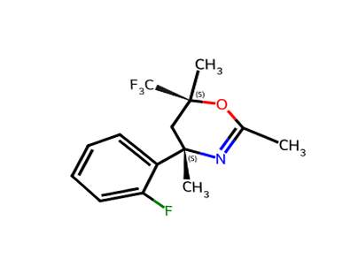 CC1=N[C@](C)(c2ccccc2F)C[C@@](C)(C(F)(F)F)O1